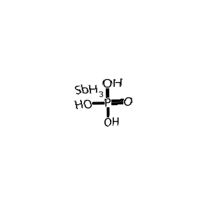 O=P(O)(O)O.[SbH3]